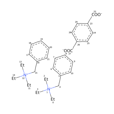 CC[N+](CC)(CC)Cc1ccccc1.CC[N+](CC)(CC)Cc1ccccc1.O=C([O-])c1ccc(C(=O)[O-])cc1